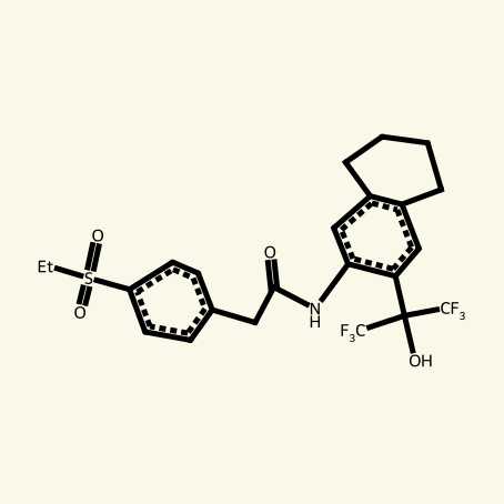 CCS(=O)(=O)c1ccc(CC(=O)Nc2cc3c(cc2C(O)(C(F)(F)F)C(F)(F)F)CCCC3)cc1